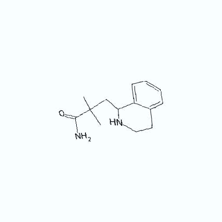 CC(C)(CC1NCCc2ccccc21)C(N)=O